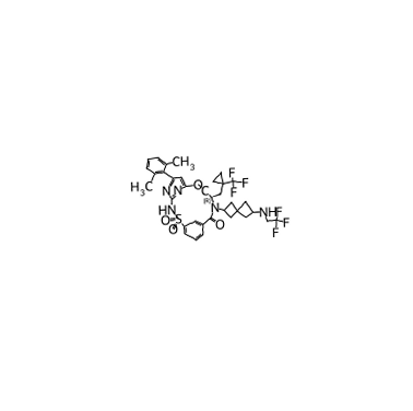 Cc1cccc(C)c1-c1cc2nc(n1)NS(=O)(=O)c1cccc(c1)C(=O)N(C1CC3(CC(NCC(F)(F)F)C3)C1)[C@H](CC1(C(F)(F)F)CC1)CO2